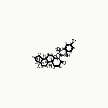 CC(C)(C)c1cc(Br)ccc1NC(=O)N1C(=O)C=C[C@]2(C)[C@H]3CC[C@]4(C)CCC[C@H]4[C@@H]3CC[C@@H]12